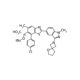 Cc1cc2nc(-c3ccc4c(c3)c(N3CC5(CCCO5)C3)nn4C)sc2c(-c2ccc(Cl)cc2)c1[C@H](OC(C)(C)C)C(=O)O